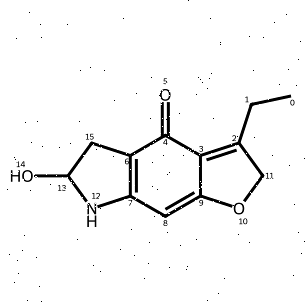 CCC1=C2C(=O)C3=C(C=C2OC1)NC(O)C3